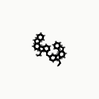 CCn1c2ccc(Cc3cccc4c5c6c(ccc5n(CC)c34)Cc3ccccc3-6)cc2c2c3c(ccc21)Cc1ccccc1-3